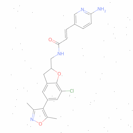 Cc1noc(C)c1-c1cc(Cl)c2c(c1)CC(CNC(=O)C=Cc1ccc(N)nc1)O2